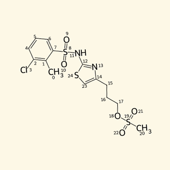 Cc1c(Cl)cccc1S(=O)(=O)Nc1nc(CCCOS(C)(=O)=O)cs1